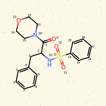 O=C(C(Cc1ccccc1)NS(=O)(=O)c1ccccc1)N1CCOCC1